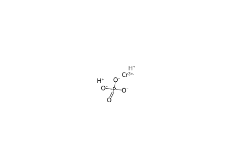 O=P([O-])([O-])[O-].[Cr+3].[H+].[H+]